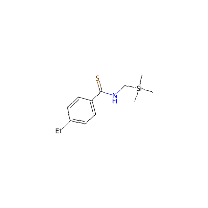 CCc1ccc(C(=S)NC[Si](C)(C)C)cc1